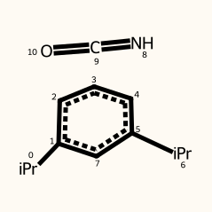 CC(C)c1cccc(C(C)C)c1.N=C=O